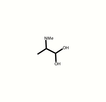 CNC(C)C(O)O